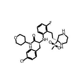 CS(=O)(=O)[C@@]1(CCc2c(F)cccc2N[C@@H](Cc2ccc(Cl)cc2)C(=O)NC2CCOCC2)CNCCN1